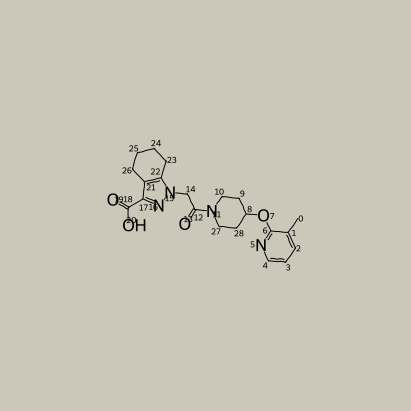 Cc1cccnc1OC1CCN(C(=O)Cn2nc(C(=O)O)c3c2CCCC3)CC1